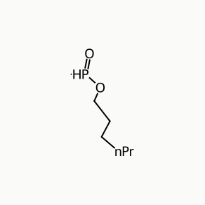 CCCCCCO[PH]=O